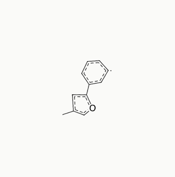 Cc1coc(-c2c[c]ccc2)c1